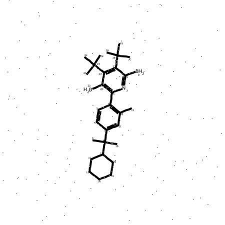 Bc1nc(-c2ccc(C(C)(C)C3CCCCC3)cc2C)c(B)c(C(C)(C)C)c1C(C)(C)C